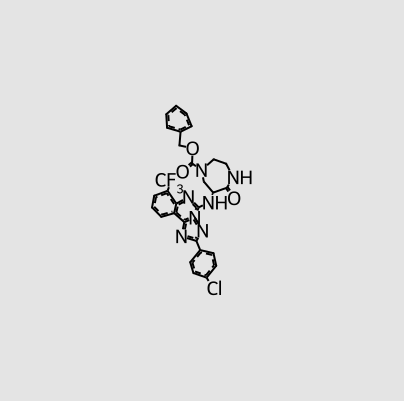 O=C1NCCN(C(=O)OCc2ccccc2)C[C@H]1Nc1nc2c(C(F)(F)F)cccc2c2nc(-c3ccc(Cl)cc3)nn12